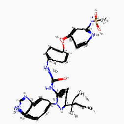 CC(C)(C)c1cc(NC(=O)Nc2ccc(Oc3ccnc(NS(C)(=O)=O)c3)cc2)n(-c2ccc3[nH]cnc3c2)n1